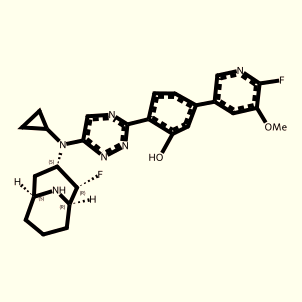 COc1cc(-c2ccc(-c3ncc(N(C4CC4)[C@H]4C[C@@H]5CCC[C@@H](N5)[C@H]4F)nn3)c(O)c2)cnc1F